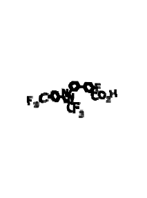 O=C(O)c1cc(-c2cccc(-c3nc(-c4ccc(C(F)(F)F)cc4)cc(C(F)(F)F)n3)c2)ccc1F